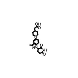 Cc1nn(C2CCC(=O)NC2=O)c2ccc(N3CCC(CC(=O)O)CC3)cc12